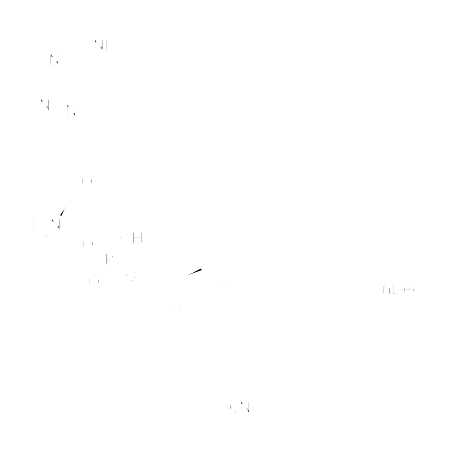 CCCCCCCCCCCCCCCCOC[C@H](COP(=O)(O)OC[C@]1(N)CC[C@H](c2ccc3c(N)ncnn23)O1)OCc1cc(F)cc(C#N)c1